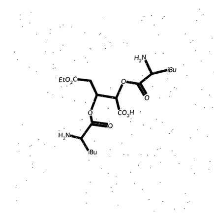 CCOC(=O)CC(OC(=O)C(N)C(C)CC)C(OC(=O)C(N)C(C)CC)C(=O)O